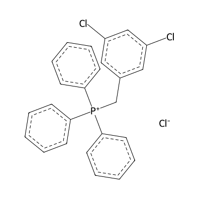 Clc1cc(Cl)cc(C[P+](c2ccccc2)(c2ccccc2)c2ccccc2)c1.[Cl-]